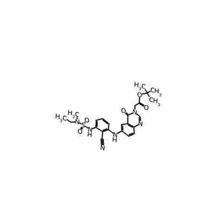 CCN(C)S(=O)(=O)Nc1cccc(Nc2ccc3ncn(CC(=O)OC(C)(C)C)c(=O)c3c2)c1C#N